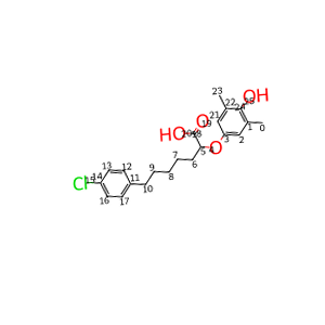 Cc1cc(OC(CCCCCc2ccc(Cl)cc2)C(=O)O)cc(C)c1O